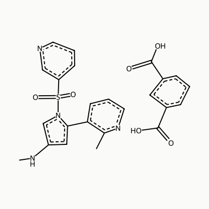 CNc1cc(-c2cccnc2C)n(S(=O)(=O)c2cccnc2)c1.O=C(O)c1cccc(C(=O)O)c1